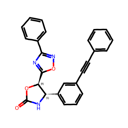 O=C1N[C@@H](c2cccc(C#Cc3ccccc3)c2)[C@H](c2nc(-c3ccccc3)no2)O1